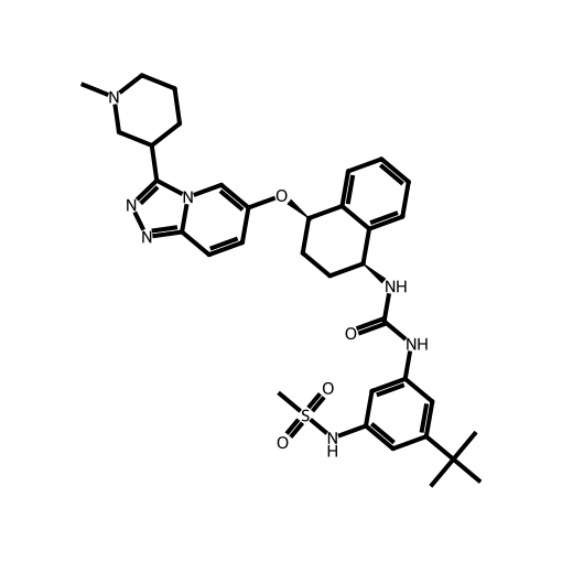 CN1CCCC(c2nnc3ccc(O[C@@H]4CC[C@H](NC(=O)Nc5cc(NS(C)(=O)=O)cc(C(C)(C)C)c5)c5ccccc54)cn23)C1